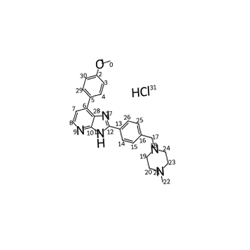 COc1ccc(-c2ccnc3[nH]c(-c4ccc(CN5CCN(C)CC5)cc4)nc23)cc1.Cl